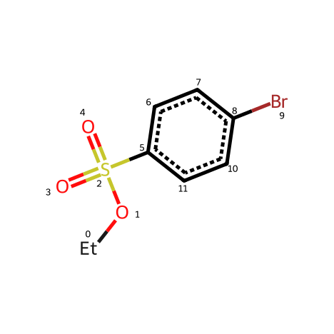 CCOS(=O)(=O)c1ccc(Br)cc1